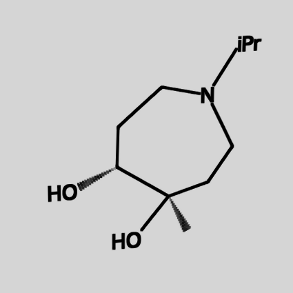 CC(C)N1CC[C@@H](O)[C@](C)(O)CC1